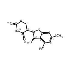 Cc1cc(Br)c2c(c1)CN(C1CCC(=O)NC1=O)C2=O